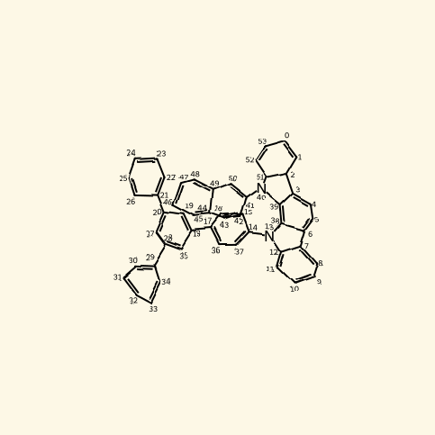 C1=CC2c3ccc4c5ccccc5n(-c5ccc(-c6cc(-c7ccccc7)cc(-c7ccccc7)c6)cc5)c4c3N(c3ccc4ccccc4c3)C2C=C1